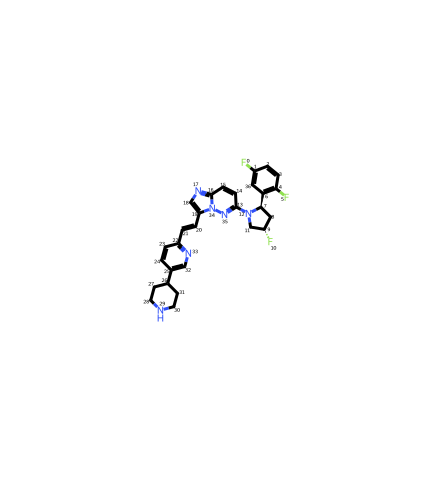 Fc1ccc(F)c([C@H]2C[C@H](F)CN2c2ccc3ncc(/C=C/c4ccc(C5CCNCC5)cn4)n3n2)c1